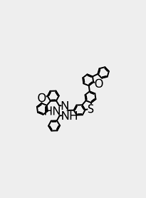 c1ccc(C2NC(c3ccc4sc5ccc(-c6cccc7c6oc6ccccc67)cc5c4c3)=NC(c3cccc4oc5ccccc5c34)N2)cc1